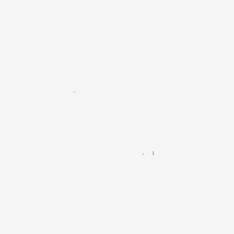 CCN1CCC(c2cc(-c3cccc(NC(C)=O)c3)sc2C(=O)O)=C(C2CCC(C)CC2)C1